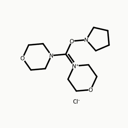 C1CCN(OC(N2CCOCC2)=[N+]2CCOCC2)C1.[Cl-]